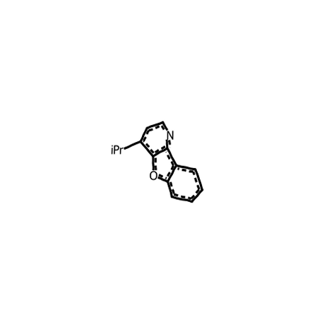 CC(C)c1ccnc2c1oc1ccccc12